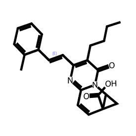 CCCCc1c(/C=C/c2ccccc2C)nc2n(c1=O)C1CC1(C(=O)O)C=C2